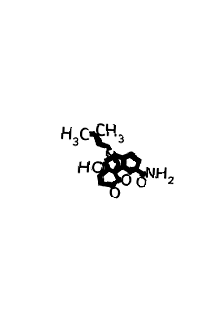 CC(C)=CCN1CCC23c4c5ccc(C(N)=O)c4OC2C(=O)CCC3(O)C1C5